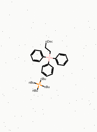 CCCCCCCCCCCC[B-](c1ccccc1)(c1ccccc1)c1ccccc1.CCCC[P+](CCCC)(CCCC)CCCC